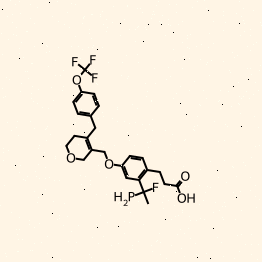 CC(F)(P)c1cc(OCC2=C(Cc3ccc(OC(F)(F)F)cc3)CCOC2)ccc1CCC(=O)O